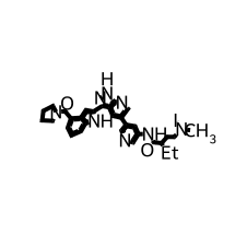 CCC(CCN(C)I)C(=O)Nc1cncc(-c2cnc3[nH]nc(-c4cc5c(C(=O)N6CCCC6)cccc5[nH]4)c3c2)c1